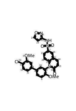 COc1cc(-c2ccc(OC)c(-n3c(=O)ccc4cc(S(=O)(=O)Nc5ccon5)ccc43)c2)ccc1Cl